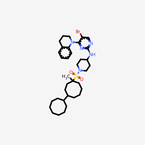 CC1(S(=O)(=O)N2CCC(Nc3ncc(Br)c(N4CCCc5ccccc54)n3)CC2)CCCCC(C2CCCCCCC2)CC1